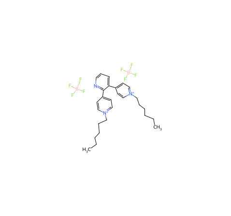 CCCCCC[n+]1ccc(-c2cccnc2-c2cc[n+](CCCCCC)cc2)cc1.F[B-](F)(F)F.F[B-](F)(F)F